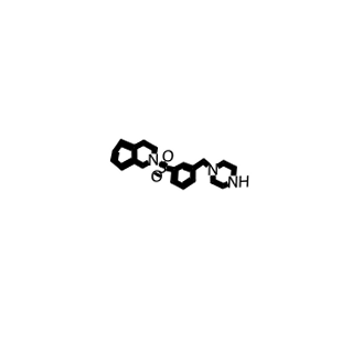 O=S(=O)(c1cccc(CN2CCNCC2)c1)N1CCc2ccccc2C1